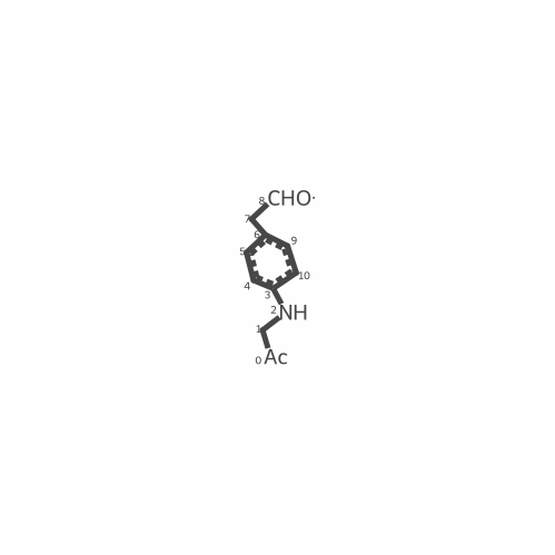 CC(=O)CNc1ccc(C[C]=O)cc1